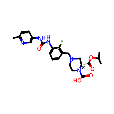 Cc1ccc(NC(=O)Nc2cccc(CN3CCN(C(=O)O)[C@@H](C(=O)OC(C)C)C3)c2F)cn1